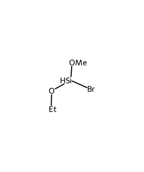 CCO[SiH](Br)OC